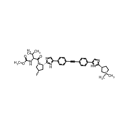 COC(=O)N[C@H](C(=O)N1C[C@H](F)C[C@H]1c1ncc(-c2ccc(C#Cc3ccc(-c4cnc([C@H]5CC[Si](C)(C)C5)[nH]4)cc3)cc2)[nH]1)C(C)C